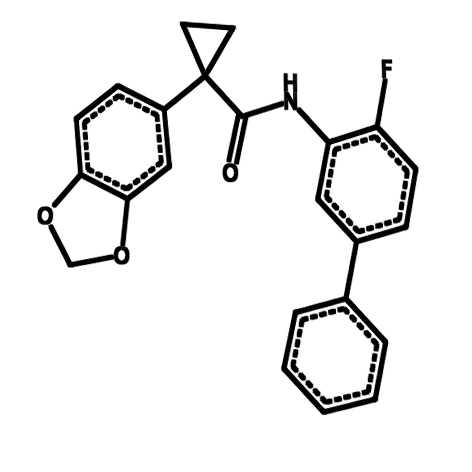 O=C(Nc1cc(-c2ccccc2)ccc1F)C1(c2ccc3c(c2)OCO3)CC1